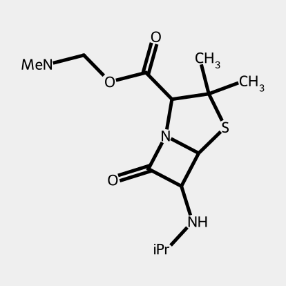 CNCOC(=O)C1N2C(=O)C(NC(C)C)C2SC1(C)C